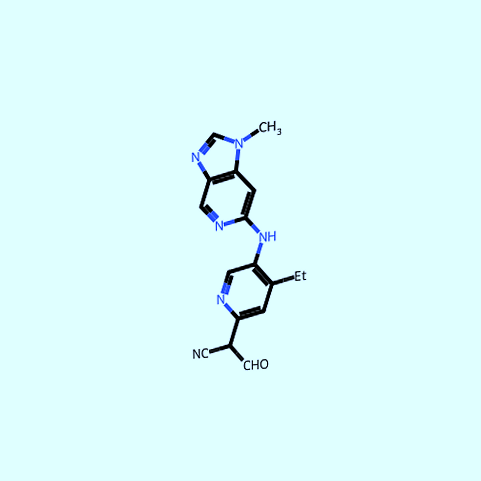 CCc1cc(C(C#N)C=O)ncc1Nc1cc2c(cn1)ncn2C